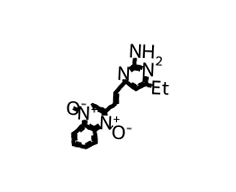 CCc1cc(/C=C/c2c[n+]([O-])c3ccccc3[n+]2[O-])nc(N)n1